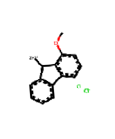 COc1cccc2c1[CH]([Zr+2])c1ccccc1-2.[Cl-].[Cl-]